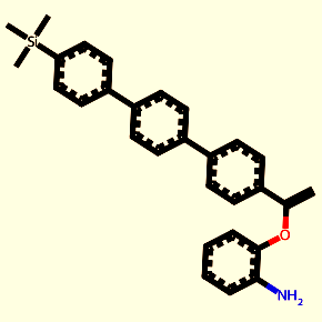 C=C(Oc1ccccc1N)c1ccc(-c2ccc(-c3ccc([Si](C)(C)C)cc3)cc2)cc1